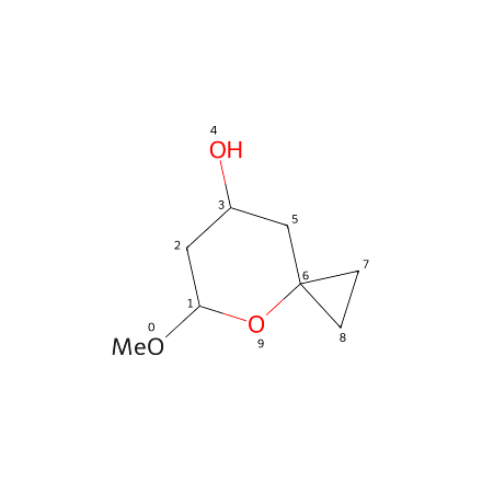 COC1CC(O)CC2(CC2)O1